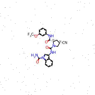 N#C[C@H]1C[C@@H](C(=O)Nc2cccc(OC(F)(F)F)c2)N(C(=O)Nc2cn(C(N)=O)c3ccccc23)C1